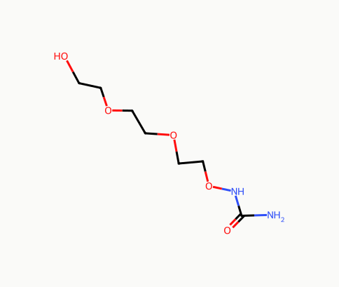 NC(=O)NOCCOCCOCCO